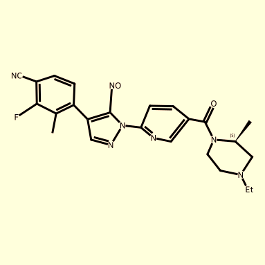 CCN1CCN(C(=O)c2ccc(-n3ncc(-c4ccc(C#N)c(F)c4C)c3N=O)nc2)[C@@H](C)C1